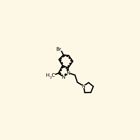 Cc1nn(CCN2CCCC2)c2ccc(Br)cc12